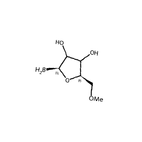 B[C@@H]1O[C@H](COC)C(O)C1O